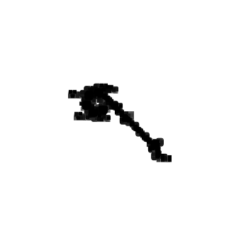 CCCCC(=O)CCCN1C(=O)CC(SCCOCCOCCOCCOCC(=O)NCCOCCOCCOCCO[C@H]2[C@H](OC)[C@@H](OC)[C@@H](O[C@H]3[C@H](OC)[C@@H](OC)[C@H](O[C@H]4[C@H](C)[C@@H](C)[C@@H](O[C@H]5[C@H](OC)[C@@H](OC)[C@H](O[C@H]6[C@H](C)[C@@H](C)[C@@H](OC)O[C@@H]6CC)O[C@H]5C)O[C@@H]4CC)C[C@@H]3C)O[C@@H]2CC)C1=O